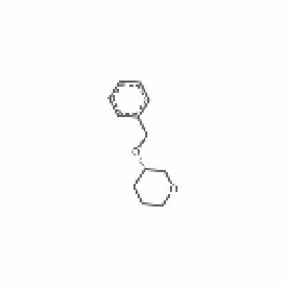 c1ccc(CO[C@H]2CCCOC2)cc1